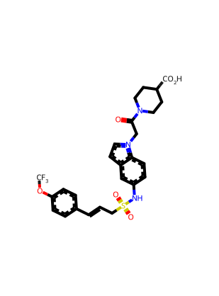 O=C(O)C1CCN(C(=O)Cn2ccc3cc(NS(=O)(=O)CC=Cc4ccc(OC(F)(F)F)cc4)ccc32)CC1